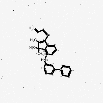 C=C/C=C\C1=C(C)C(C)(C)c2c(Nc3cccc(-c4ccccc4)c3)cccc21